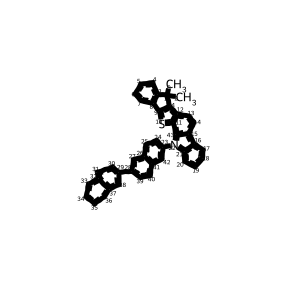 CC1(C)c2ccccc2-c2sc3c(ccc4c5ccccc5n(-c5ccc6cc(-c7ccc8ccccc8c7)ccc6c5)c43)c21